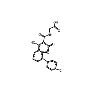 O=C(O)CNC(=O)c1c(O)c2cccc(-c3ccc(Cl)cc3)c2oc1=O